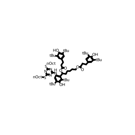 CCCCCCCCSc1nc(Nc2cc(C(C)(C)C)c(O)c(C(C)(C)C)c2C(CCCCCOC(=O)CCc2cc(C(C)(C)C)c(O)c(C(C)(C)C)c2)OC(=O)CCc2cc(C(C)(C)C)c(O)c(C(C)(C)C)c2)nc(SCCCCCCCC)n1